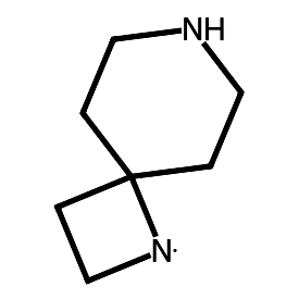 C1CC2(CCNCC2)[N]1